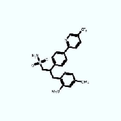 COc1ccc(CC(CS(N)(=O)=O)c2ccc(-c3ccc(C(F)(F)F)cn3)cc2)c(OC)c1